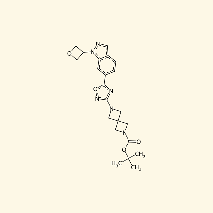 CC(C)(C)OC(=O)N1CC2(C1)CN(c1noc(-c3ccc4cnn(C5COC5)c4c3)n1)C2